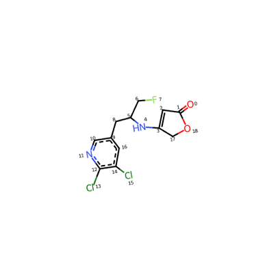 O=C1C=C(NC(CF)Cc2cnc(Cl)c(Cl)c2)CO1